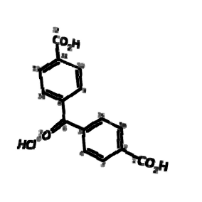 Cl.O=C(O)c1ccc(C(=O)c2ccc(C(=O)O)cc2)cc1